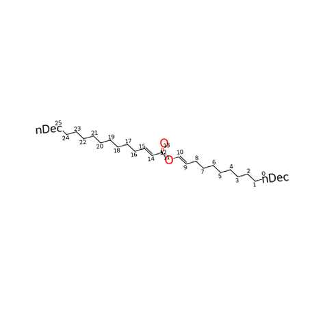 CCCCCCCCCCCCCCCCCC/C=C/OC(=O)/C=C/CCCCCCCCCCCCCCCCCCC